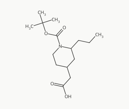 CCCC1CC(CC(=O)O)CCN1C(=O)OC(C)(C)C